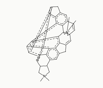 C[N+]1(C)CC2c3cc4c5c6c7c8c9c%10c(cc%11c9c9c(cc(c%12c9c8c5c3-%12)C2C1)C%11)C=CC1(C=C6C4)C[N+](C)(C)CC%1071